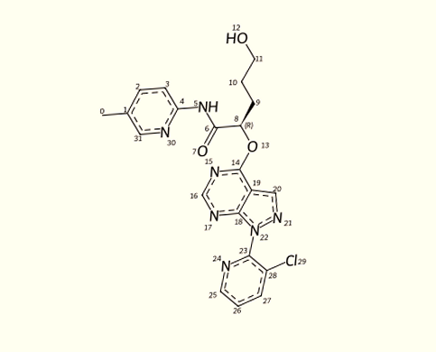 Cc1ccc(NC(=O)[C@@H](CCCO)Oc2ncnc3c2cnn3-c2ncccc2Cl)nc1